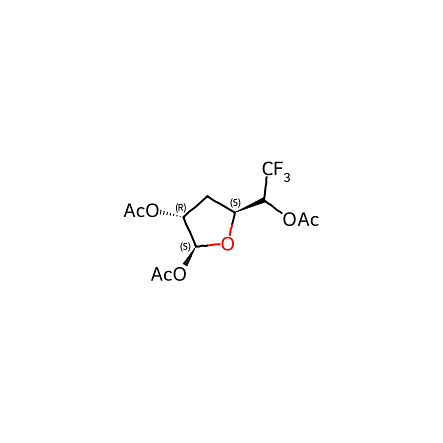 CC(=O)OC([C@@H]1C[C@@H](OC(C)=O)[C@H](OC(C)=O)O1)C(F)(F)F